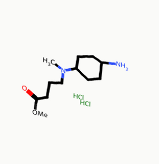 COC(=O)CCCN(C)C1CCC(N)CC1.Cl.Cl